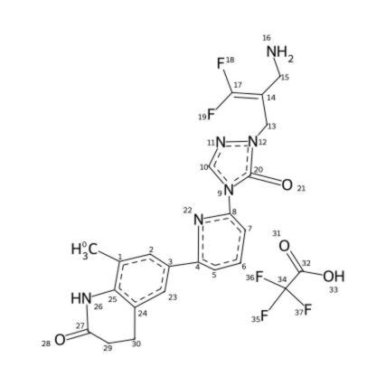 Cc1cc(-c2cccc(-n3cnn(CC(CN)=C(F)F)c3=O)n2)cc2c1NC(=O)CC2.O=C(O)C(F)(F)F